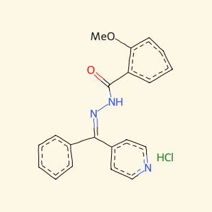 COc1ccccc1C(=O)NN=C(c1ccccc1)c1ccncc1.Cl